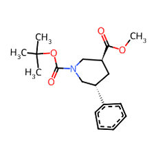 COC(=O)[C@H]1C[C@H](c2ccccc2)CN(C(=O)OC(C)(C)C)C1